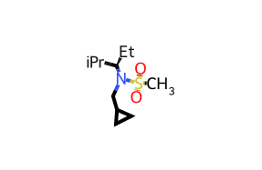 CC[C@H](C(C)C)N(CC1CC1)S(C)(=O)=O